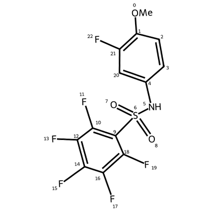 COc1ccc(NS(=O)(=O)c2c(F)c(F)c(F)c(F)c2F)cc1F